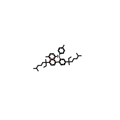 CCC(C)(CCCC(C)C)c1ccc(-c2ccc(C(C)(CC)CCCC(C)C)cc2N(c2ccc(C)cc2)c2ccc(C)cc2)cc1